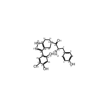 N[C@H](Cc1ccc(O)cc1)C(=O)N1CCc2[nH]nc(-c3cc(Cl)c(O)cc3O)c2C1